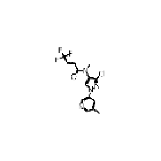 Cc1cncc(-n2cc(N(C)C(=O)CCC(F)(F)F)c(Cl)n2)c1